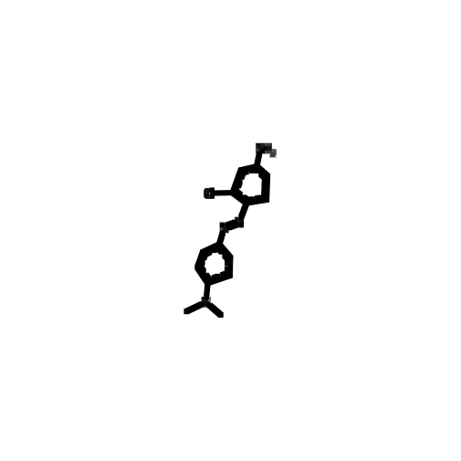 CN(C)c1ccc(N=Nc2ccc(N)cc2Cl)cc1